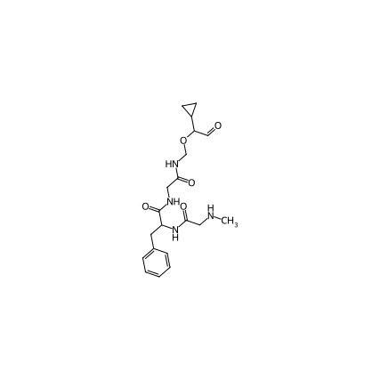 CNCC(=O)NC(Cc1ccccc1)C(=O)NCC(=O)NCOC(C=O)C1CC1